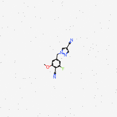 COc1cc(Cn2cc(C#N)cn2)cc(F)c1C#N